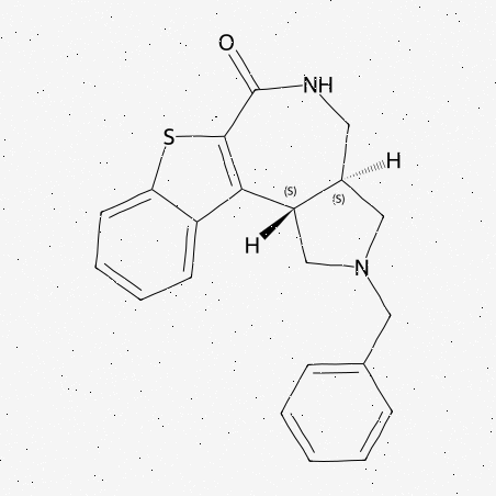 O=C1NC[C@H]2CN(Cc3ccccc3)C[C@@H]2c2c1sc1ccccc21